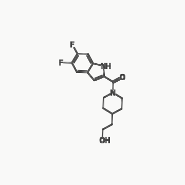 O=C(c1cc2cc(F)c(F)cc2[nH]1)N1CCC(CCO)CC1